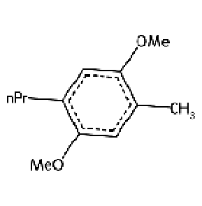 CCCc1cc(OC)c(C)cc1OC